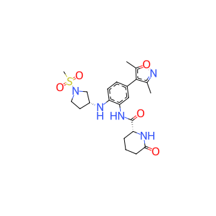 Cc1noc(C)c1-c1ccc(N[C@@H]2CCN(S(C)(=O)=O)C2)c(NC(=O)[C@H]2CCCC(=O)N2)c1